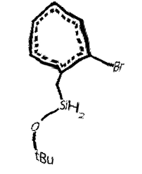 CC(C)(C)O[SiH2]c1ccccc1Br